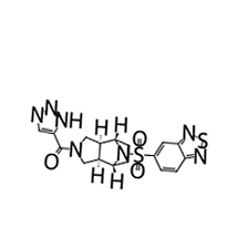 O=C(c1cnn[nH]1)N1C[C@@H]2[C@H](C1)[C@H]1CC[C@@H]2N1S(=O)(=O)c1ccc2nsnc2c1